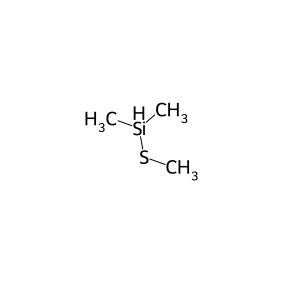 CS[SiH](C)C